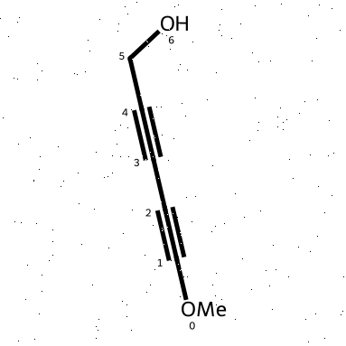 COC#CC#CCO